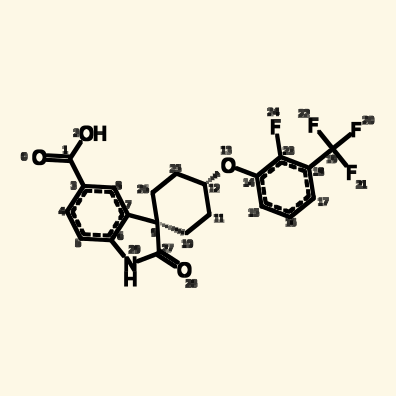 O=C(O)c1ccc2c(c1)[C@]1(CC[C@@H](Oc3cccc(C(F)(F)F)c3F)CC1)C(=O)N2